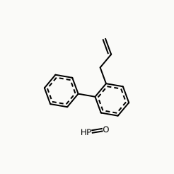 C=CCc1ccccc1-c1ccccc1.O=P